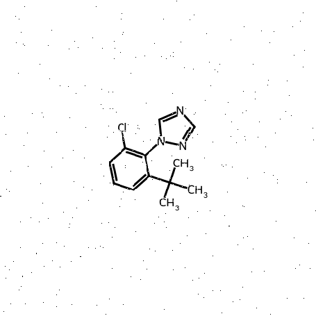 CC(C)(C)c1cccc(Cl)c1-n1cncn1